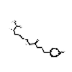 C[C@@H](CCCCNC(=S)CCCc1ccc([125I])cc1)C(=O)O